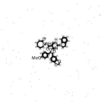 COc1ccc(COC2(OCc3ccc4c(c3)OCO4)N=C(N3CCc4ccccc43)NC=C2C(=O)NN2CCCCCC2=O)cc1